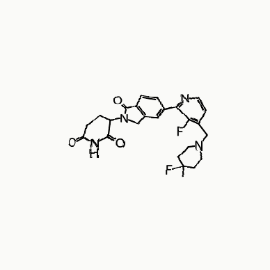 CC1(F)CCN(Cc2ccnc(-c3ccc4c(c3)CN(C3CCC(=O)NC3=O)C4=O)c2F)CC1